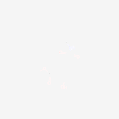 C=C(/C=C\C)NS(=O)(=O)c1ccc(O)c(C(=O)OC)c1